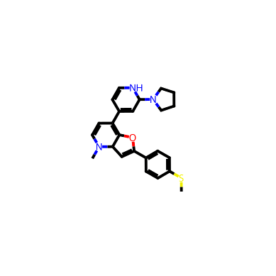 CSc1ccc(C2=CC3C(=C(C4=CC(N5CCCC5)NC=C4)C=CN3C)O2)cc1